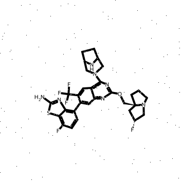 Nc1nc2c(-c3cc4nc(OC[C@@]56CCCN5C[C@H](F)C6)nc(N5CC6CCC(C5)N6)c4cc3C(F)(F)F)ccc(F)c2s1